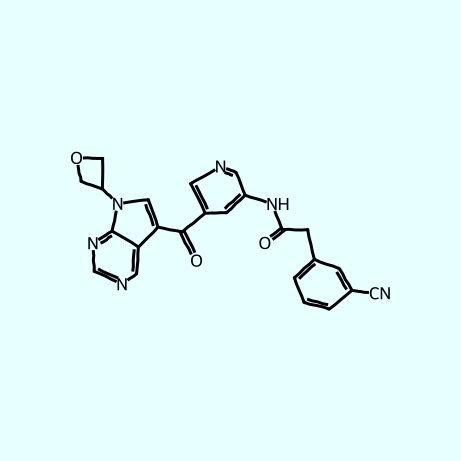 N#Cc1cccc(CC(=O)Nc2cncc(C(=O)c3cn(C4COC4)c4ncncc34)c2)c1